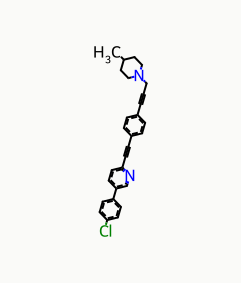 CC1CCN(CC#Cc2ccc(C#Cc3ccc(-c4ccc(Cl)cc4)cn3)cc2)CC1